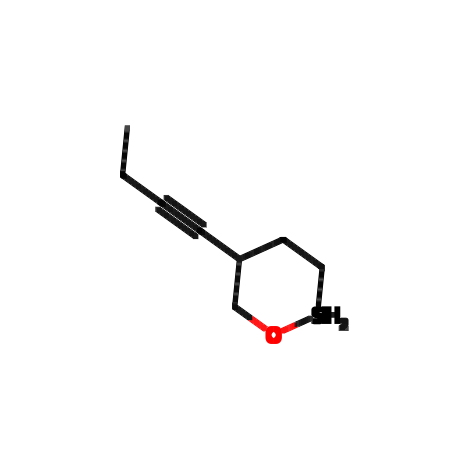 CCC#CC1CC[SiH2]OC1